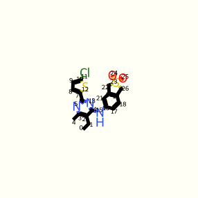 CCc1c(C)nc(-c2ccc(Cl)s2)nc1Nc1ccc2c(c1)CS(=O)(=O)C2